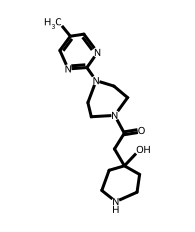 Cc1cnc(N2CCN(C(=O)CC3(O)CCNCC3)CC2)nc1